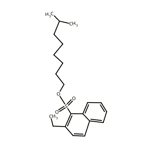 CCc1ccc2ccccc2c1S(=O)(=O)OCCCCCCC(C)C